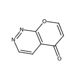 O=c1ccoc2nnccc12